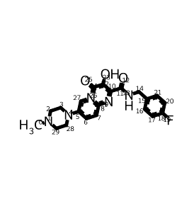 CN1CCN(c2ccc3nc(C(=O)NCc4ccc(F)cc4)c(O)c(=O)n3c2)CC1